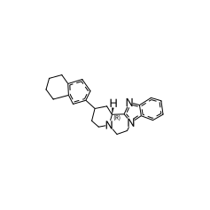 c1ccc2c(c1)nc1n2CCN2CCC(c3ccc4c(c3)CCCC4)C[C@H]12